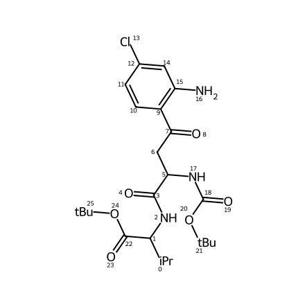 CC(C)C(NC(=O)C(CC(=O)c1ccc(Cl)cc1N)NC(=O)OC(C)(C)C)C(=O)OC(C)(C)C